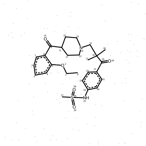 CCOc1ccccc1C(=O)C1CCN(CC(C)(C)C(=O)c2ccc(NS(C)(=O)=O)cc2)CC1